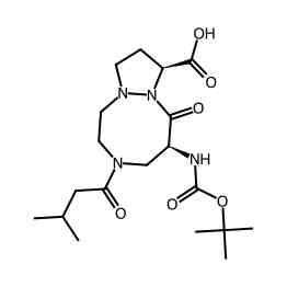 CC(C)CC(=O)N1CCN2CC[C@@H](C(=O)O)N2C(=O)[C@@H](NC(=O)OC(C)(C)C)C1